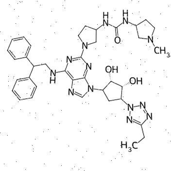 CCc1nnn(C2CC(n3cnc4c(NCC(c5ccccc5)c5ccccc5)nc(N5CCC(NC(=O)NC6CCN(C)C6)C5)nc43)[C@H](O)[C@@H]2O)n1